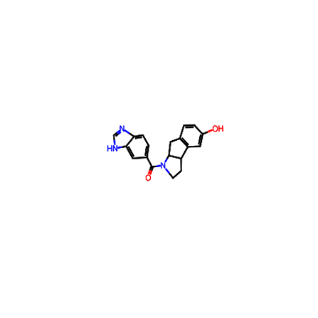 O=C(c1ccc2nc[nH]c2c1)N1CCC2c3cc(O)ccc3CC21